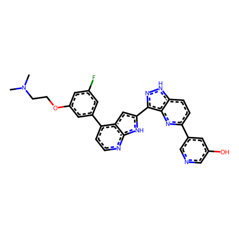 CN(C)CCOc1cc(F)cc(-c2ccnc3[nH]c(-c4n[nH]c5ccc(-c6cncc(O)c6)nc45)cc23)c1